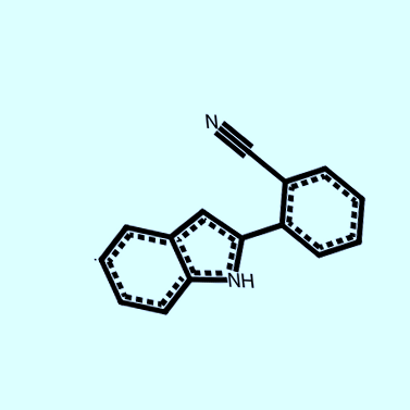 N#Cc1ccccc1-c1cc2c[c]ccc2[nH]1